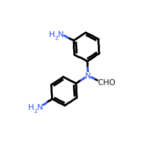 Nc1ccc(N(C=O)c2cccc(N)c2)cc1